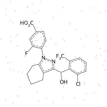 O=C(O)c1ccc(-n2nc(C(O)c3c(Cl)cccc3C(F)(F)F)c3c2CCCC3)c(F)c1